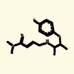 CC(NCC=CC(=O)N(C)C)C(C)Oc1ccc(I)cc1